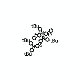 CC(C)(C)c1ccc(N2B3c4cc5oc6ccccc6c5cc4-n4c5ccc(C(C)(C)C)cc5c5c6c(c(c3c54)-c3cc4c(cc32)sc2ccc(N(c3ccc(C(C)(C)C)cc3)c3ccc(C(C)(C)C)cc3)cc24)-c2ccccc2C6(C)C)cc1